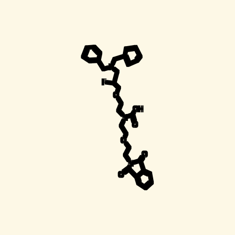 O=C(O)N(CCOCCN1C(=O)c2ccccc2C1=O)CCOCC(F)CN(Cc1ccccc1)Cc1ccccc1